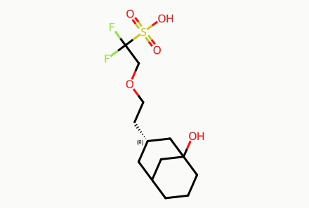 O=S(=O)(O)C(F)(F)COCC[C@H]1CC2CCCC(O)(C2)C1